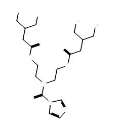 O=C(CC(CO)CO)OCCN(CCOC(=O)CC(CO)CO)C(=O)n1ccnc1